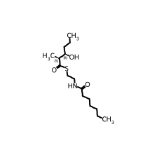 CCCCCCC(=O)NCCSC(=O)[C@@H](C)[C@H](O)CCC